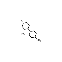 CN1CCC(N2CCC(N)CC2)CC1.Cl